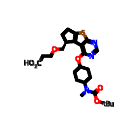 CN(C(=O)OC(C)(C)C)C1CCC(Oc2ncnc3sc4c(c23)[C@@H](COCCC(=O)O)CC4)CC1